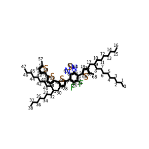 CCCCCCCCCC(CCCCCCC)Cc1cc(-c2c(F)c(F)c(-c3cc(CC(CCCCCCC)CCCCCCCCC)c(-c4ccc(-c5ccc(C)s5)s4)s3)c3nsnc23)sc1C